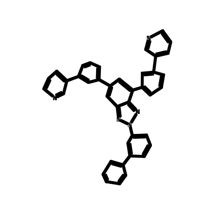 c1ccc(-c2cccc(-n3nc4cc(-c5cccc(-c6cccnc6)c5)cc(-c5cccc(-c6cccnc6)c5)c4n3)c2)cc1